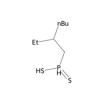 CCCCC(CC)C[PH](=S)S